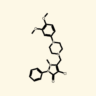 COc1ccc(N2CCN(Cc3c(Cl)c(=O)n(-c4ccccc4)n3C)CC2)cc1OC